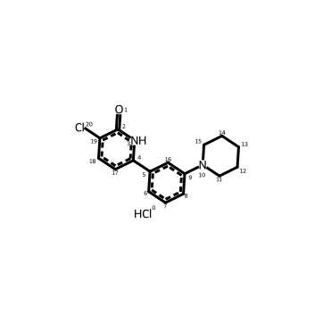 Cl.O=c1[nH]c(-c2cccc(N3CCCCC3)c2)ccc1Cl